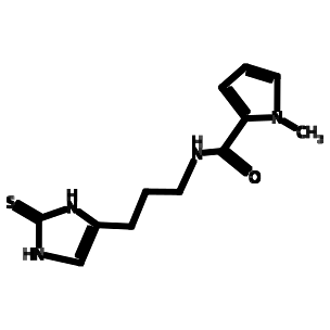 Cn1cccc1C(=O)NCCCc1c[nH]c(=S)[nH]1